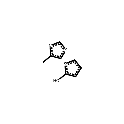 Cc1cscn1.Oc1cccs1